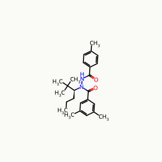 CCC[C@H](N(NC(=O)c1ccc(C)cc1)C(=O)c1cc(C)cc(C)c1)C(C)(C)C